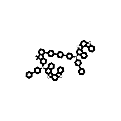 CC1(C)c2cc(N(c3ccc(-c4ccccc4)cc3)c3cc4oc5ccc6oc7ccccc7c6c5c4c4ccccc34)ccc2-c2c(-c3ccc(-c4ccc(-c5ccc(N(c6ccc(-c7ccccc7)cc6)c6cc7oc8ccc9oc%10ccccc%10c9c8c7c7ccccc67)cc5)cc4)cc3)cccc21